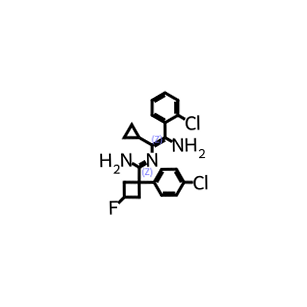 N/C(=N\C(=C(/N)c1ccccc1Cl)C1CC1)C1(c2ccc(Cl)cc2)CC(F)C1